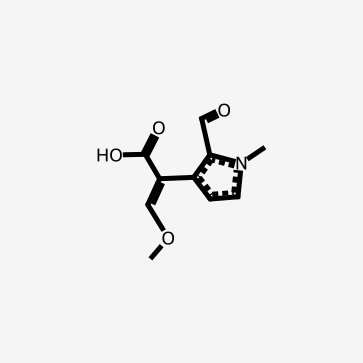 CO/C=C(/C(=O)O)c1ccn(C)c1C=O